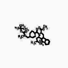 COC(=O)C1Cc2c([nH]c3ccccc23)C(CC(C)C)N1C(=O)C1CCC(CN(C)C(=O)OC(C)(C)C)CC1